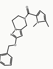 Cc1ccc(C(=O)N2CCn3nc(OCc4ccccc4)cc3C2)n1C